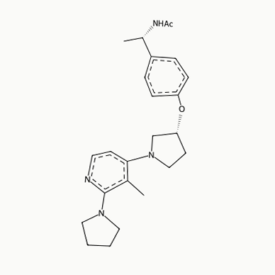 CC(=O)N[C@@H](C)c1ccc(O[C@@H]2CCN(c3ccnc(N4CCCC4)c3C)C2)cc1